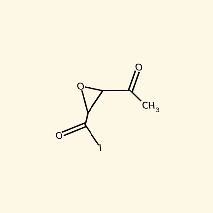 CC(=O)C1OC1C(=O)I